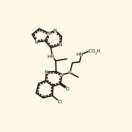 CC(Nc1ncnn2ccnc12)c1nc2cccc(Cl)c2c(=O)n1N(C)CCNC(=O)O